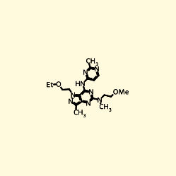 CCOCCn1nc(C)c2nc(N(C)CCOC)nc(Nc3ccnc(C)n3)c21